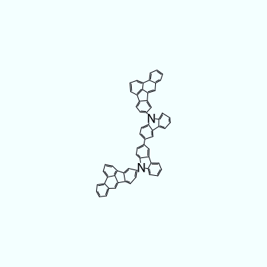 c1ccc2c(c1)cc1c3c(cccc32)-c2cc(-n3c4ccccc4c4cc(-c5ccc6c(c5)c5ccccc5n6-c5ccc6c(c5)-c5cc7ccccc7c7cccc-6c57)ccc43)ccc2-1